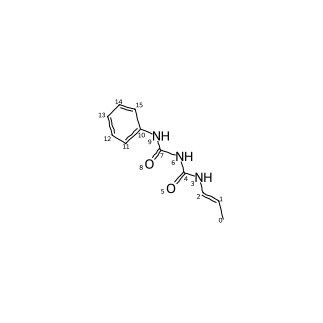 CC=CNC(=O)NC(=O)Nc1ccccc1